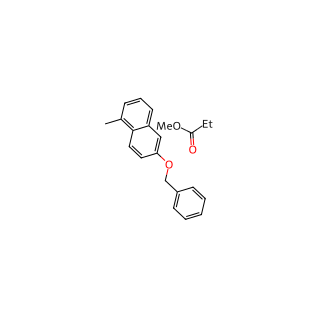 CCC(=O)OC.Cc1cccc2cc(OCc3ccccc3)ccc12